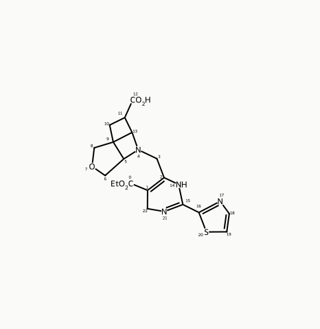 CCOC(=O)C1=C(CN2C3COCC34CC(C(=O)O)C24)NC(c2nccs2)=NC1